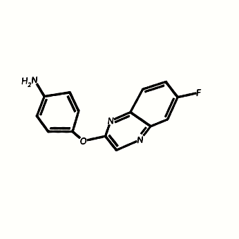 Nc1ccc(Oc2cnc3cc(F)ccc3n2)cc1